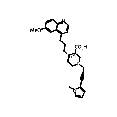 COc1ccc2nccc(CCC[C@@H]3CCN(CC#Cc4cccn4C)C[C@@H]3C(=O)O)c2c1